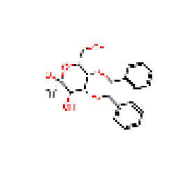 [2H][C@]1(O)O[C@H](CO)[C@H](OCc2ccccc2)[C@H](OCc2ccccc2)[C@H]1O